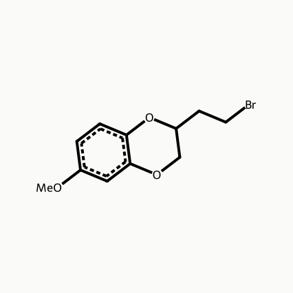 COc1ccc2c(c1)OCC(CCBr)O2